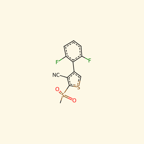 CS(=O)(=O)c1scc(-c2c(F)cccc2F)c1C#N